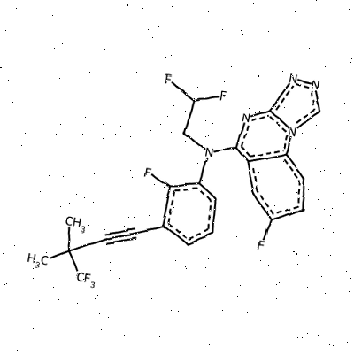 CC(C)(C#Cc1cccc(N(CC(F)F)c2nc3nncn3c3ccc(F)cc23)c1F)C(F)(F)F